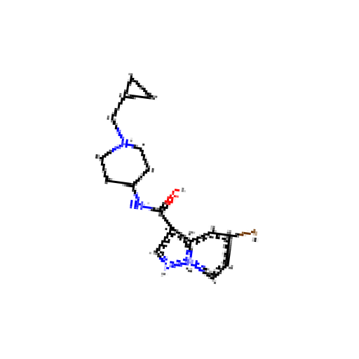 O=C(NC1CCN(CC2CC2)CC1)c1cnn2ccc(Br)cc12